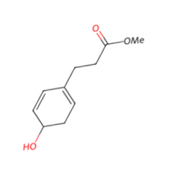 COC(=O)CCC1=CCC(O)C=C1